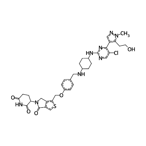 Cn1ncc(-c2nc(NC3CCC(NCc4ccc(OCc5scc6c5CN(C5CCC(=O)NC5=O)C6=O)cc4)CC3)ncc2Cl)c1CCO